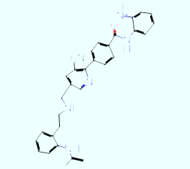 C=C(C)Nc1ccccc1CCNCc1cnc(-c2ccc(C(=O)Nc3ccccc3N)cc2)c(C#N)c1